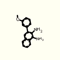 COc1cccc(-c2cc3ccccc3c(N)c2N)c1